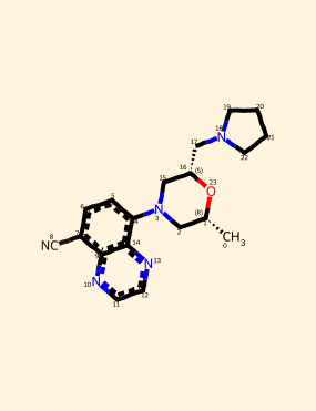 C[C@@H]1CN(c2ccc(C#N)c3nccnc23)C[C@H](CN2CCCC2)O1